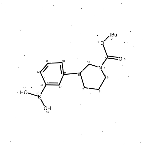 CC(C)(C)OC(=O)N1CCCC(c2cccc(B(O)O)c2)C1